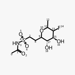 CC(=O)NS(=O)(=O)CCC1OC(C)C(F)[C@@H](O)[C@@H]1O